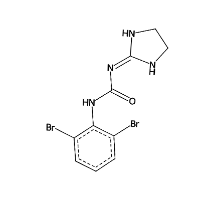 O=C(N=C1NCCN1)Nc1c(Br)cccc1Br